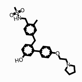 Cc1cc(Cc2ccc(O)cc2-c2ccc(OCCN3CCCC3)cc2)ccc1CNS(C)(=O)=O